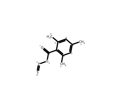 Cc1cc(C)c(C(=O)OP=S)c(C)c1